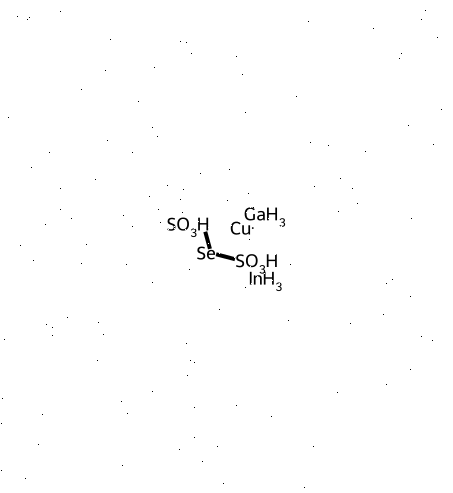 O=S(=O)(O)[Se]S(=O)(=O)O.[Cu].[GaH3].[InH3]